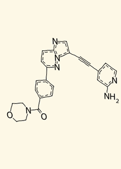 Nc1cc(C#Cc2cnc3ccc(-c4ccc(C(=O)N5CCOCC5)cc4)nn23)ccn1